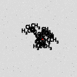 Cc1nnn(-c2ccc3c(n2)c(N2C[C@@H](C)n4c(c(CCCOc5cc(C)c(Cl)c(C)c5)c5ccc(Cl)c(-c6c(C)nn(C)c6C)c54)C2=O)cn3C)n1